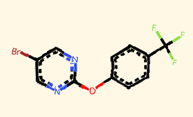 FC(F)(F)c1ccc(Oc2ncc(Br)cn2)cc1